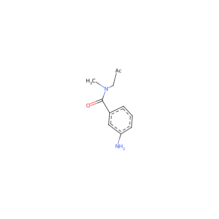 CC(=O)CN(C)C(=O)c1cccc(N)c1